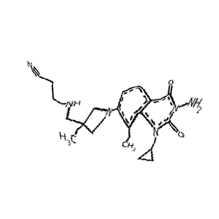 Cc1c(N2CC(C)(CNCCC#N)C2)ccc2c(=O)n(N)c(=O)n(C3CC3)c12